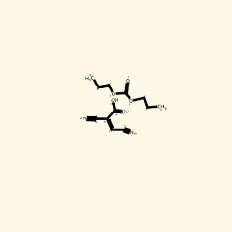 CCCOC(=O)OCCC.N#CC=C(C#N)C(=O)O